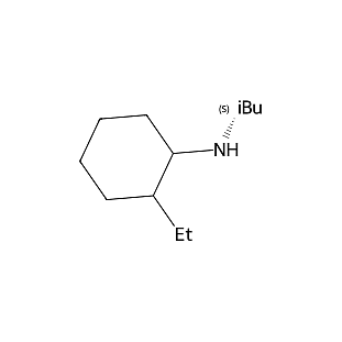 CCC1CCCCC1N[C@@H](C)CC